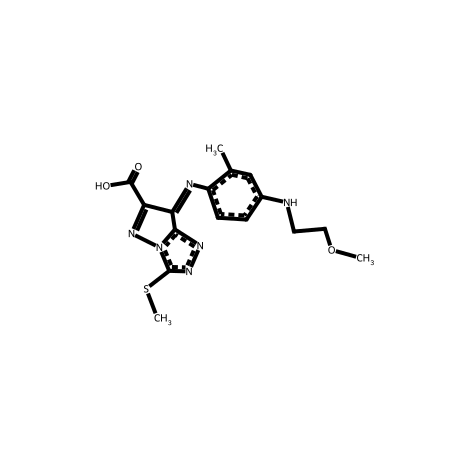 COCCNc1ccc(N=C2C(C(=O)O)=Nn3c(SC)nnc32)c(C)c1